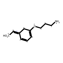 NCCCOC1=CC=C/C(=C\C(=O)O)C1